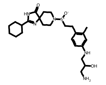 Cc1cc(NCC(O)CN)ccc1CC[S+]([O-])N1CCC2(CC1)N=C(C1CCCCC1)NC2=O